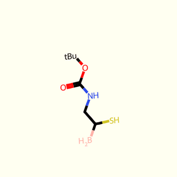 BC(S)CNC(=O)OC(C)(C)C